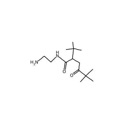 CC(C)(C)C(=O)CC(C(=O)NCCN)C(C)(C)C